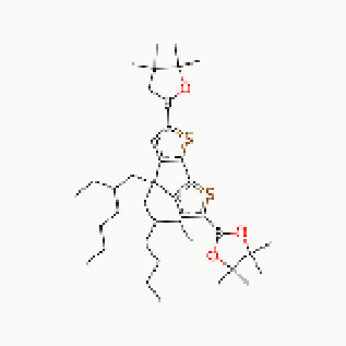 CCCCC(CC)CC1(CC(CC)CCCC)c2cc(B3CC(C)(C)C(C)(C)O3)sc2-c2sc(B3OC(C)(C)C(C)(C)O3)cc21